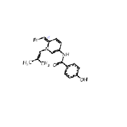 CC/C=C1/C=CC(NC(=O)c2ccc(O)cc2)=CN1C=C(C)C